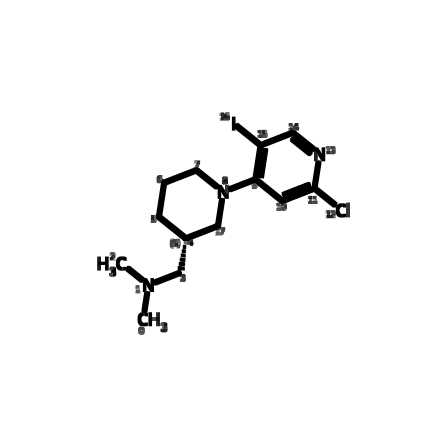 CN(C)C[C@@H]1CCCN(c2cc(Cl)ncc2I)C1